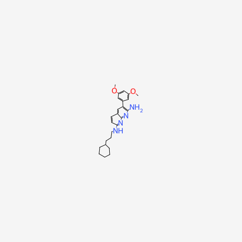 COc1cc(OC)cc(-c2cc3ccc(NCCCC4CCCCC4)nc3nc2N)c1